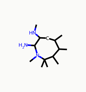 CNC1CC(C)C(C)C(C)C(C)(C)N(C)C1N